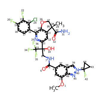 COc1cc(C(=O)NCC(O)(c2cc3c(c(-c4ccc(F)c(F)c4Cl)n2)OC[C@]3(C)C(N)=O)C(F)(F)F)cc2cn(C3(F)CC3)nc12